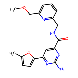 COCc1cccc(CNC(=O)c2cc(-c3ccc(C)o3)nc(N)n2)n1